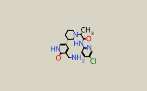 C[C@@H](C(=O)Nc1ccc(Cl)cn1)N1CCC[C@@H](c2c[nH]c(=O)c(CN)c2)C1